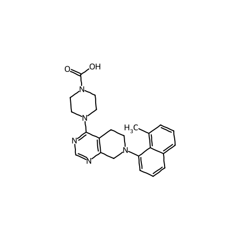 Cc1cccc2cccc(N3CCc4c(ncnc4N4CCN(C(=O)O)CC4)C3)c12